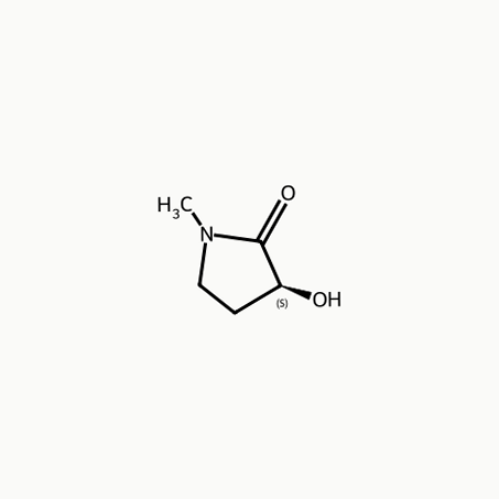 CN1CC[C@H](O)C1=O